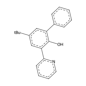 CC(C)(C)c1cc(-c2ccccc2)c(O)c(-c2ccccn2)c1